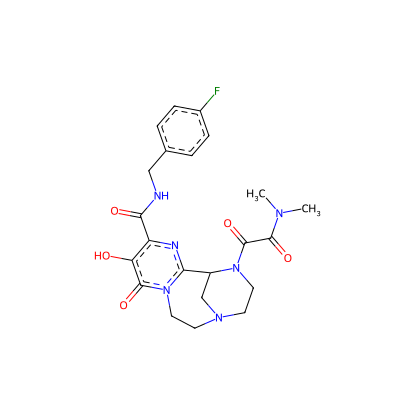 CN(C)C(=O)C(=O)N1CCN2CCn3c(nc(C(=O)NCc4ccc(F)cc4)c(O)c3=O)C1C2